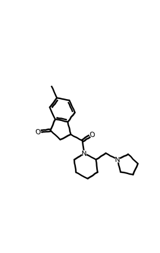 Cc1ccc2c(c1)C(=O)CC2C(=O)N1CCCCC1CN1CCCC1